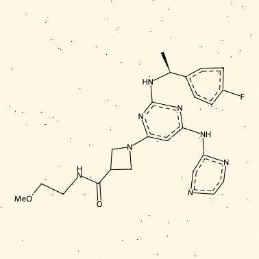 COCCNC(=O)C1CN(c2cc(Nc3cnccn3)nc(N[C@@H](C)c3ccc(F)cc3)n2)C1